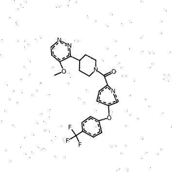 COc1ccnnc1C1CCN(C(=O)c2ccc(Oc3ccc(C(F)(F)F)cc3)cn2)CC1